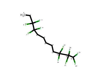 CCC(F)(F)C(F)(F)CCCCCC(F)(F)C(F)(F)C(F)F